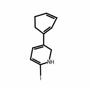 IC1=CC=C(C2=CC=CCC2)CN1